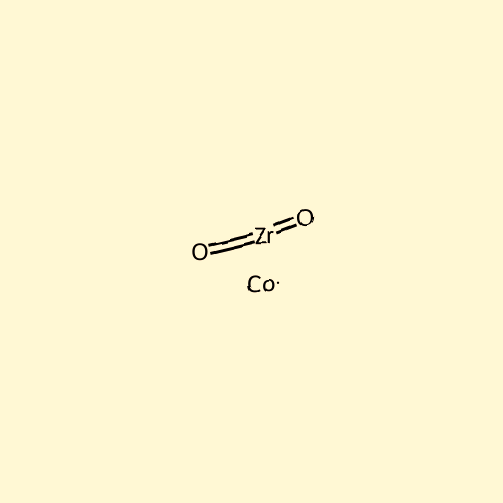 [Co].[O]=[Zr]=[O]